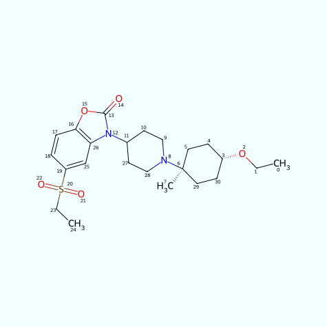 CCO[C@H]1CC[C@](C)(N2CCC(n3c(=O)oc4ccc(S(=O)(=O)CC)cc43)CC2)CC1